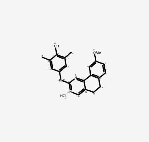 COc1ccc2c(c1)-c1nc(Nc3cc(C)c(O)c(C)c3)ncc1CC2.Cl